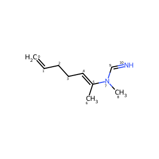 C=CCC/C=C(\C)N(C)C=N